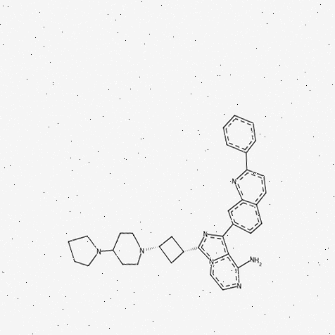 Nc1nccn2c1c(-c1ccc3ccc(-c4ccccc4)nc3c1)nc2[C@H]1C[C@@H](N2CCC(N3CCCC3)CC2)C1